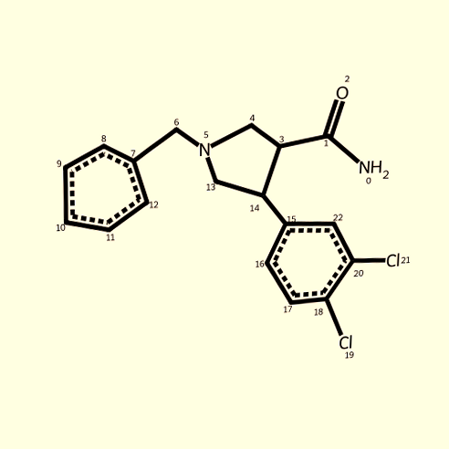 NC(=O)C1CN(Cc2ccccc2)CC1c1ccc(Cl)c(Cl)c1